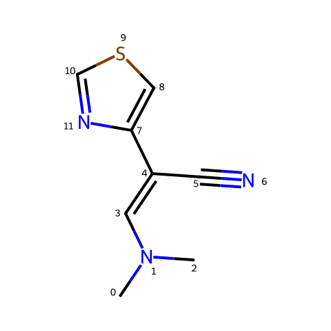 CN(C)/C=C(\C#N)c1cscn1